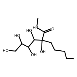 CCCCCC(O)(C(=O)NC)C(O)C(O)C(O)CO